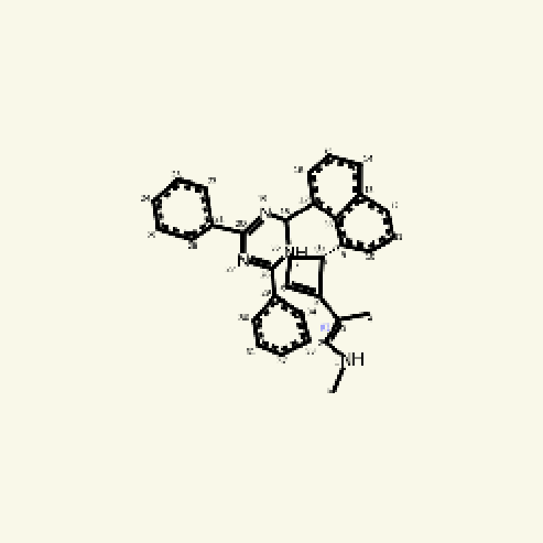 CN/C=C(\C)C1=CC[C@@H]1c1cccc2cccc(C3N=C(c4ccccc4)N=C(c4ccccc4)N3)c12